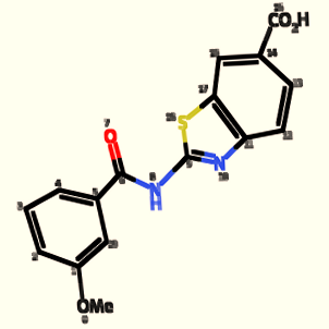 COc1cccc(C(=O)Nc2nc3ccc(C(=O)O)cc3s2)c1